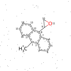 Cc1c2ccccc2c(C2CO2)c2ccccc12